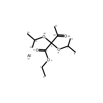 CCOC(=O)C(OC(C)C)(OC(C)C)C(C)=O.[Al]